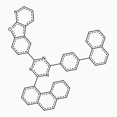 c1ccc2c(-c3ccc(-c4nc(-c5ccc6oc7ncccc7c6c5)nc(-c5cccc6ccc7ccccc7c56)n4)cc3)cccc2c1